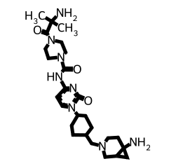 CC(C)(N)C(=O)N1CCN(C(=O)Nc2ccn(C3CCC(CN4CCC5(N)CC5C4)CC3)c(=O)n2)CC1